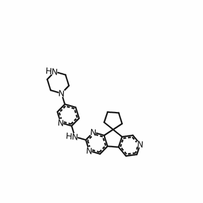 c1cc2c(cn1)C1(CCCC1)c1nc(Nc3ccc(N4CCNCC4)cn3)ncc1-2